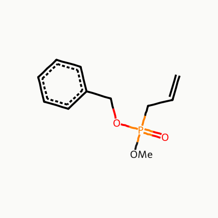 C=CCP(=O)(OC)OCc1ccccc1